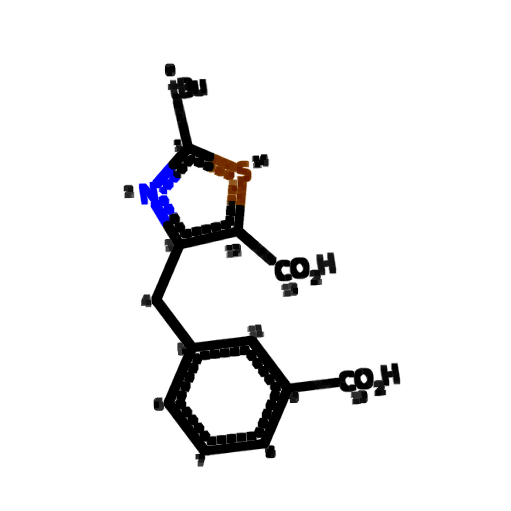 CC(C)(C)c1nc(Cc2cccc(C(=O)O)c2)c(C(=O)O)s1